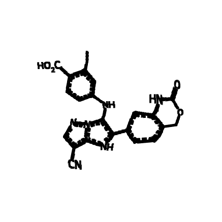 Cc1cc(Nc2c(-c3ccc4c(c3)NC(=O)OC4)[nH]c3c(C#N)cnn23)ccc1C(=O)O